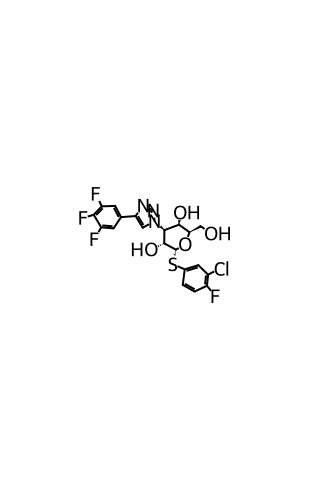 OC[C@H]1O[C@H](Sc2ccc(F)c(Cl)c2)[C@H](O)[C@@H](n2cc(-c3cc(F)c(F)c(F)c3)nn2)[C@H]1O